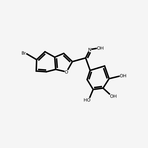 ON=C(c1cc(O)c(O)c(O)c1)c1cc2cc(Br)ccc2o1